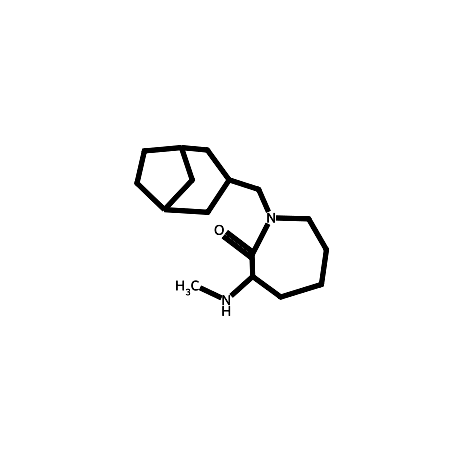 CNC1CCCCN(CC2CC3CCC(C3)C2)C1=O